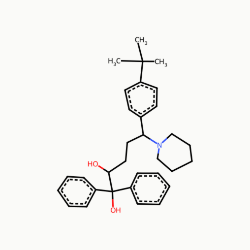 CC(C)(C)c1ccc(C(CCC(O)C(O)(c2ccccc2)c2ccccc2)N2CCCCC2)cc1